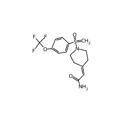 C=S(=O)(c1ccc(OC(F)(F)F)cc1)N1CCC(=CC(N)=O)CC1